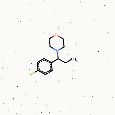 CCC(c1ccc(F)cc1)N1CCOCC1